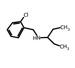 CCC(CC)NCc1ccccc1Cl